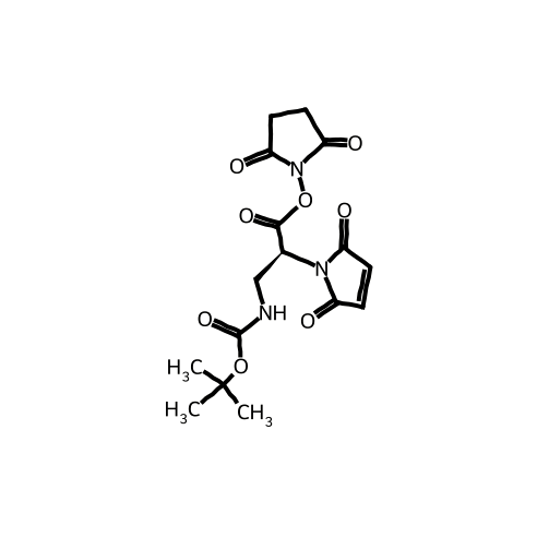 CC(C)(C)OC(=O)NC[C@@H](C(=O)ON1C(=O)CCC1=O)N1C(=O)C=CC1=O